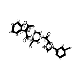 Cc1cccc(-n2cnc(C(=O)N3CCN(C(=O)c4c(C)oc5ccccc45)C(C)C3)n2)c1